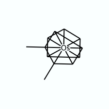 C[C]12[CH]3[CH]4[CH]5[C]1(C)[Os]43521678[CH]2[CH]1[CH]6[CH]7[CH]28